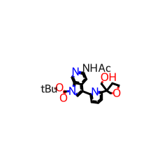 CC(=O)Nc1cc2c(-c3cccc(C4(CO)CCOC4)n3)cn(C(=O)OC(C)(C)C)c2cn1